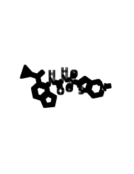 CC(c1ccc2c(c1NC(=O)NS(=O)(=O)c1cc3c(s1)CCN(C)C3)CCC2)C1CC1